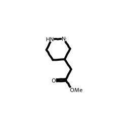 COC(=O)CC1CCN[N]C1